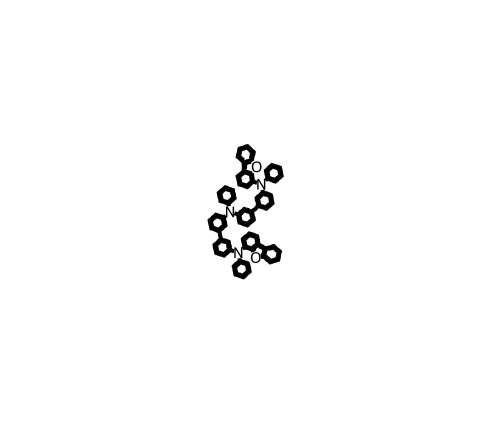 c1ccc(N(c2cccc(-c3cccc(N(c4ccccc4)c4cccc5c4oc4ccccc45)c3)c2)c2cccc(-c3cccc(N(c4ccccc4)c4cccc5c4oc4ccccc45)c3)c2)cc1